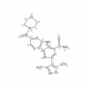 Cc1noc(C)c1-c1cc(C(N)=O)c2[nH]c3cc(C(=O)N4CCOCC4)ccc3c2n1